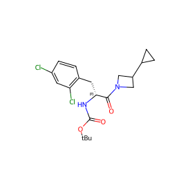 CC(C)(C)OC(=O)N[C@H](Cc1ccc(Cl)cc1Cl)C(=O)N1CC(C2CC2)C1